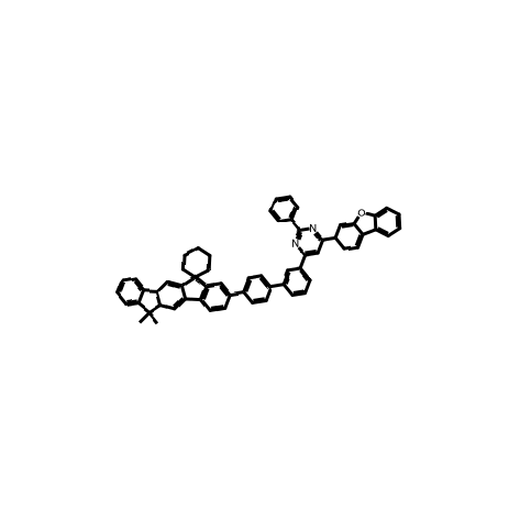 CC1(C)c2ccccc2C2C=C3C(=CC21)c1ccc(-c2ccc(-c4cccc(-c5cc(C6C=c7oc8ccccc8c7=CC6)nc(-c6ccccc6)n5)c4)cc2)cc1C31CCCCC1